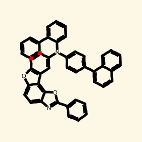 c1ccc(-c2nc3ccc4oc5ccc(N(c6ccc(-c7cccc8ccccc78)cc6)c6ccccc6-c6ccccc6)cc5c4c3o2)cc1